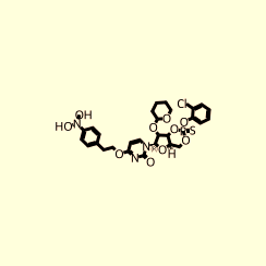 O=c1nc(OCCc2ccc(N(O)O)cc2)ccn1[C@@H]1O[C@@H]2COP(=S)(Oc3ccccc3Cl)OC2C1OC1CCCCO1